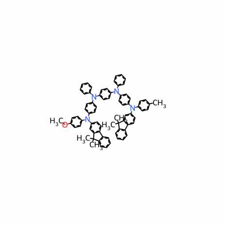 COc1ccc(N(c2ccc(N(c3ccccc3)c3ccc(N(c4ccccc4)c4ccc(N(c5ccc(C)cc5)c5ccc6c(c5)C(C)(C)c5ccccc5-6)cc4)cc3)cc2)c2ccc3c(c2)C(C)(C)c2ccccc2-3)cc1